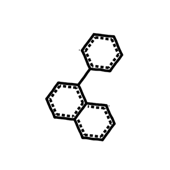 [c]1ccccc1-c1cccc2ccc[c]c12